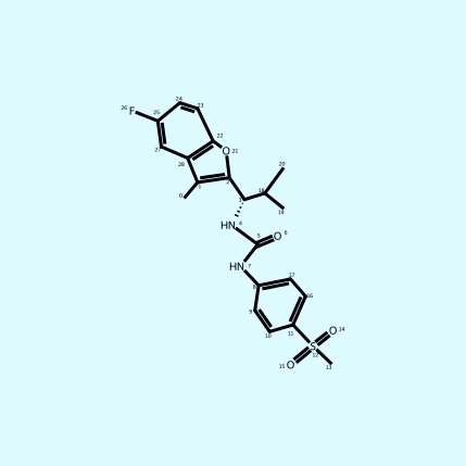 Cc1c([C@@H](NC(=O)Nc2ccc(S(C)(=O)=O)cc2)C(C)C)oc2ccc(F)cc12